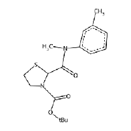 Cc1cccc(N(C)C(=O)C2SCCN2C(=O)OC(C)(C)C)c1